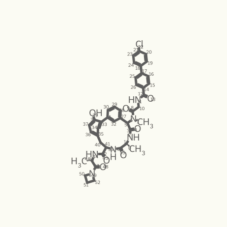 C[C@@H]1NC(=O)C(N(C)C(=O)CNC(=O)c2ccc(-c3ccc(Cl)cc3)cc2)c2cccc(c2)-c2cc(ccc2O)CC(C(=O)N[C@@H](C)C(=O)N2CCC2)NC1=O